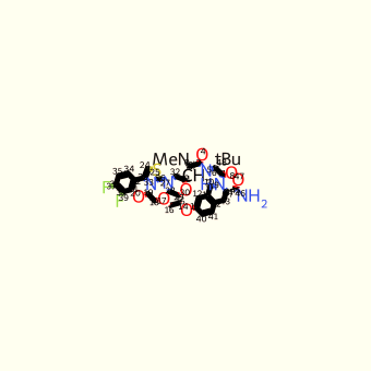 CN[C@@H](C)C(=O)NC(C(=O)N1Cc2cc(OCCOCCOc3c(-c4csc(N5CCOCC5)n4)ccc(F)c3F)ccc2C[C@H]1C(N)=O)C(C)(C)C